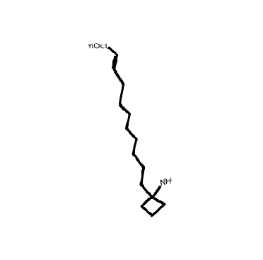 CCCCCCCCC=CCCCCCCCCC1([NH])CCC1